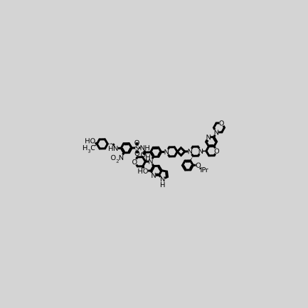 CC(C)Oc1ccccc1[C@H]1CN([C@@H]2CCOc3cc(N4CCOCC4)ncc32)CCN1C1CC2(CCN(c3ccc(C(=O)NS(=O)(=O)c4ccc(NC[C@H]5CC[C@](C)(O)CC5)c([N+](=O)[O-])c4)c(N4c5cc6cc[nH]c6nc5O[C@H]5COCC[C@@H]54)c3)CC2)C1